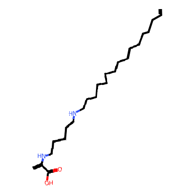 C=CCCCCCCCCCCCCCCNCCCCCNC(=C)C(=O)O